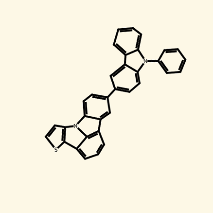 c1ccc(-n2c3ccccc3c3cc(-c4ccc5c(c4)c4cccc6c7sccc7n5c46)ccc32)cc1